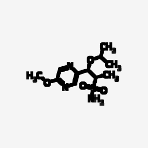 COc1cnc([C@@H](OC(C)C)[C@@H](C)S(N)(=O)=O)cn1